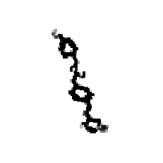 O=C(Cc1ccc(CCc2c[nH]cn2)cc1)OCc1ccc(Cl)cc1